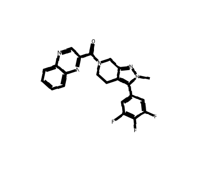 Cn1nc2c(c1-c1cc(F)c(F)c(F)c1)CCN(C(=O)c1cnc3ccccc3n1)C2